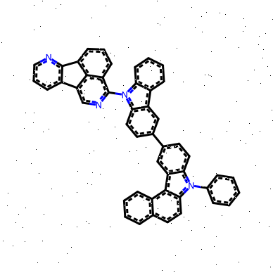 c1ccc(-n2c3ccc(-c4ccc5c(c4)c4ccccc4n5-c4ncc5c6c(cccc46)-c4ncccc4-5)cc3c3c4ccccc4ccc32)cc1